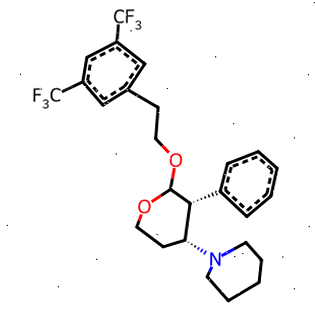 FC(F)(F)c1cc(CCOC2OCC[C@@H](N3CCCCC3)[C@H]2c2ccccc2)cc(C(F)(F)F)c1